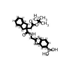 CC(C)(C)OC(=O)CC1(C(=O)NCc2nc3cc(B(O)O)ccc3s2)Cc2ccccc2C1